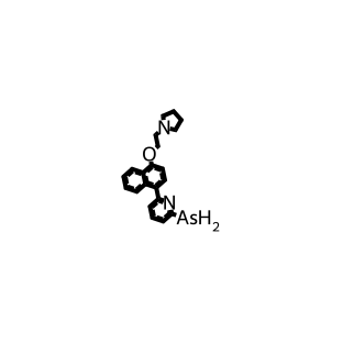 [AsH2]c1cccc(-c2ccc(OCCN3CCCC3)c3ccccc23)n1